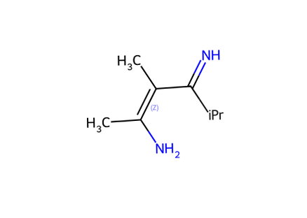 C/C(N)=C(\C)C(=N)C(C)C